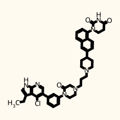 CCc1c[nH]c2ncc(-c3cccc(N4CCN(CCCN5CCC(c6ccc7c(N8CCC(=O)NC8=O)cccc7c6)CC5)CC4=O)c3)c(Cl)c12